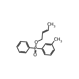 CC=CCOP(=O)(c1ccccc1)c1cccc(C)c1